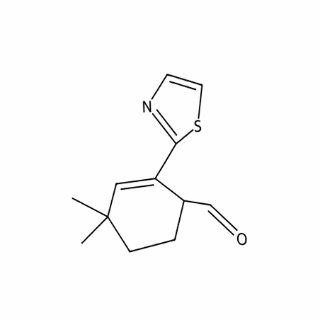 CC1(C)C=C(c2nccs2)C(C=O)CC1